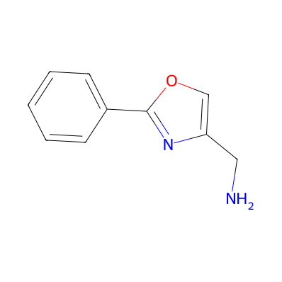 NCc1coc(-c2ccccc2)n1